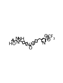 O=C(N1CC2(CC(Cc3cncc(S(=O)(=O)C(F)(F)F)c3)C2)C1)N1CC2(CC(c3nc(C4(O)CC4)n[nH]3)C2)C1